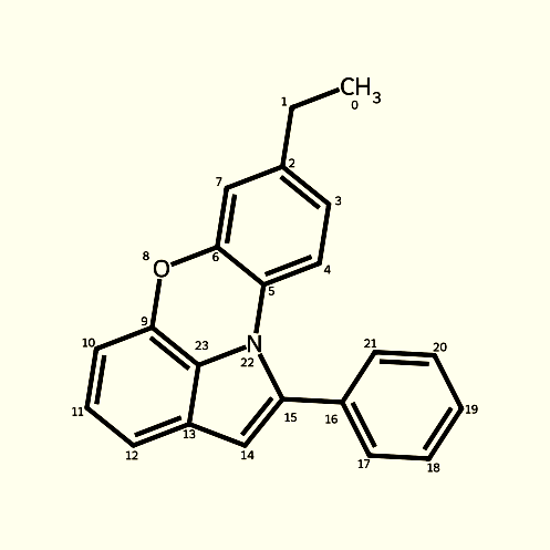 CCc1ccc2c(c1)Oc1cccc3cc(-c4ccccc4)n-2c13